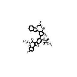 CNC(=O)c1c(-c2ccc(F)cc2)oc2cc(N(C)S(C)(=O)=O)c(-c3ccc4c(c3)-c3cc5ccccc5n3CC(F)CO4)cc12